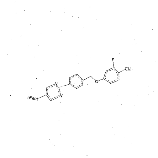 CCCCCc1cnc(-c2ccc(COc3ccc(C#N)c(F)c3)cc2)nc1